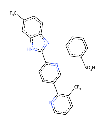 FC(F)(F)c1ccc2nc(-c3ccc(-c4ncccc4C(F)(F)F)cn3)[nH]c2c1.O=S(=O)(O)c1ccccc1